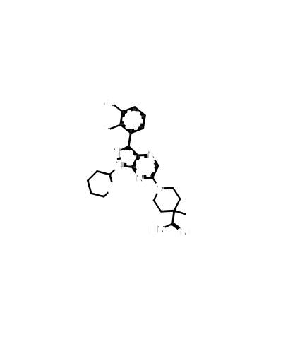 CC1(C(=N)N)CCN(c2cnc3c(-c4cccc(Cl)c4Cl)nn(C4CCCCO4)c3n2)CC1